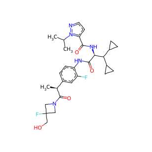 CC(C)n1nccc1C(=O)N[C@H](C(=O)Nc1ccc([C@H](C)C(=O)N2CC(F)(CO)C2)cc1F)C(C1CC1)C1CC1